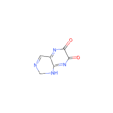 O=C1N=C2C=NCNC2=NC1=O